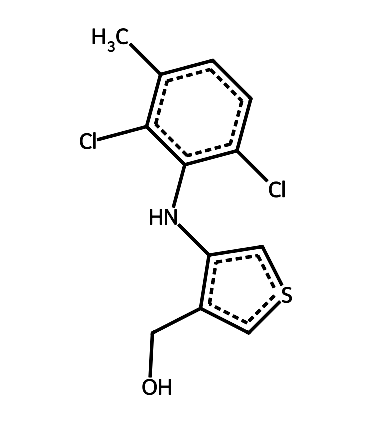 Cc1ccc(Cl)c(Nc2cscc2CO)c1Cl